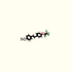 N#Cc1ccc(C=Cc2ccc(OC(F)=C(F)F)cc2)cc1